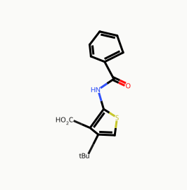 CC(C)(C)c1csc(NC(=O)c2ccccc2)c1C(=O)O